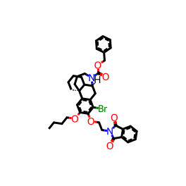 CCCCOc1cc2c(c(Br)c1OCCN1C(=O)c3ccccc3C1=O)C[C@H]1C3CCCC[C@@]23CCCN1C(=O)OCc1ccccc1